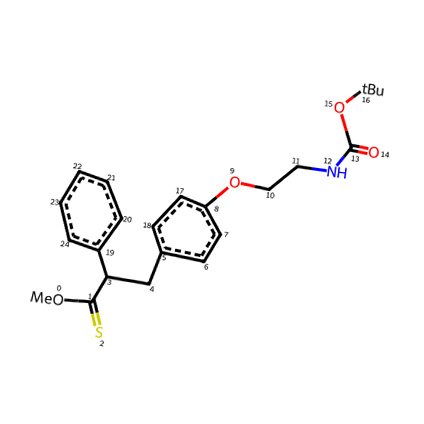 COC(=S)C(Cc1ccc(OCCNC(=O)OC(C)(C)C)cc1)c1ccccc1